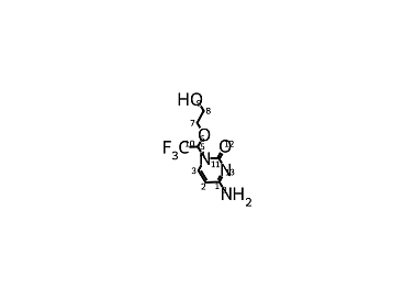 Nc1ccn(C(OCCO)C(F)(F)F)c(=O)n1